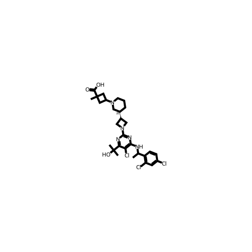 CC(Nc1nc(N2CC([C@H]3CCCN(C4CC(C)(C(=O)O)C4)C3)C2)nc(C(C)(C)O)c1Cl)c1ccc(Cl)cc1Cl